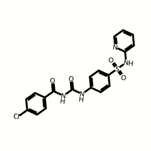 O=C(NC(=O)c1ccc(Cl)cc1)Nc1ccc(S(=O)(=O)Nc2ccccn2)cc1